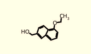 CCOc1cccc2cc(CO)ccc12